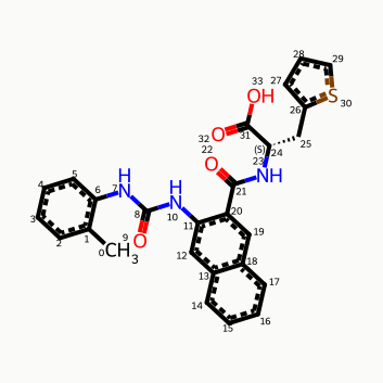 Cc1ccccc1NC(=O)Nc1cc2ccccc2cc1C(=O)N[C@@H](Cc1cccs1)C(=O)O